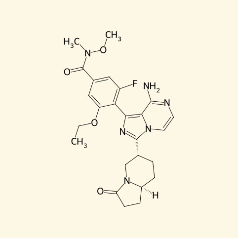 CCOc1cc(C(=O)N(C)OC)cc(F)c1-c1nc([C@@H]2CC[C@H]3CCC(=O)N3C2)n2ccnc(N)c12